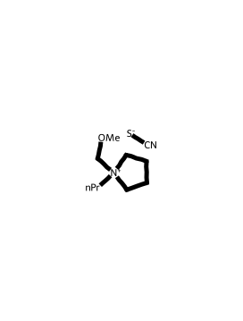 CCC[N+]1(COC)CCCC1.N#C[S-]